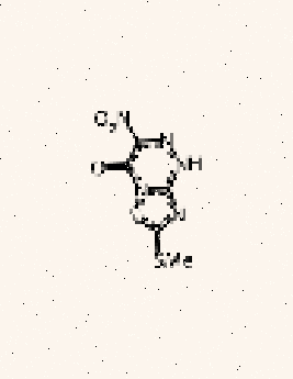 CSc1nc2[nH]nc([N+](=O)[O-])c(=O)n2n1